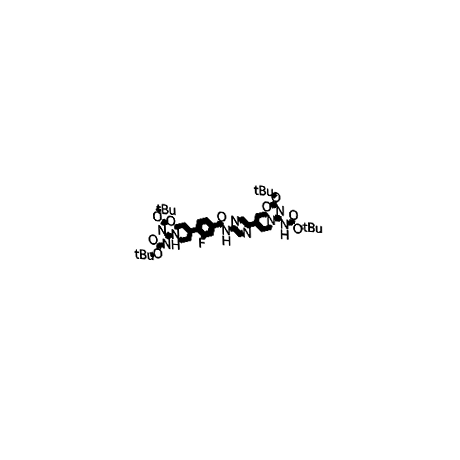 CC(C)(C)OC(=O)/N=C(/NC(=O)OC(C)(C)C)N1CC=C(c2cnc(NC(=O)c3ccc(C4=CCN(/C(=N\C(=O)OC(C)(C)C)NC(=O)OC(C)(C)C)CC4)c(F)c3)cn2)CC1